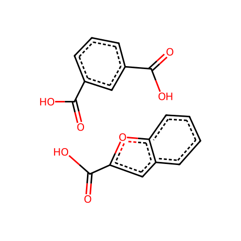 O=C(O)c1cc2ccccc2o1.O=C(O)c1cccc(C(=O)O)c1